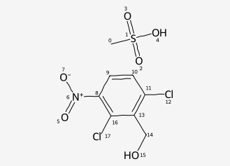 CS(=O)(=O)O.O=[N+]([O-])c1ccc(Cl)c(CO)c1Cl